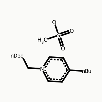 CCCCCCCCCCC[n+]1ccc(CCCC)cc1.CS(=O)(=O)[O-]